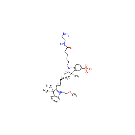 COCC[N+]1=C(/C=C/C=C/C=C2/N(CCCCCC(=O)NCCN)c3ccc(S(=O)(=O)[O-])cc3C2(C)C)C(C)(C)c2ccccc21